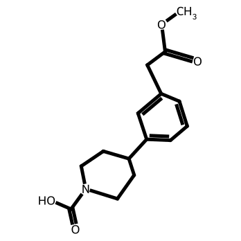 COC(=O)Cc1cccc(C2CCN(C(=O)O)CC2)c1